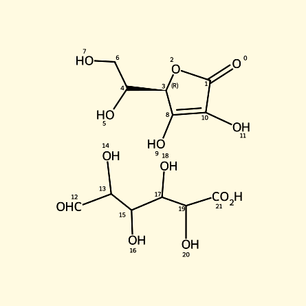 O=C1O[C@H](C(O)CO)C(O)=C1O.O=CC(O)C(O)C(O)C(O)C(=O)O